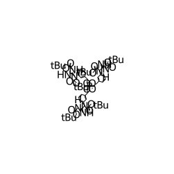 CC(C)(C)OC(=O)NC(=N)N(C(=O)OC(C)(C)C)c1cccc(COP(=O)(OCc2cccc(N(C(=N)NC(=O)OC(C)(C)C)C(=O)OC(C)(C)C)c2)OCc2cccc(N(C(=N)NC(=O)OC(C)(C)C)C(=O)OC(C)(C)C)c2)c1